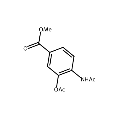 COC(=O)c1ccc(NC(C)=O)c(OC(C)=O)c1